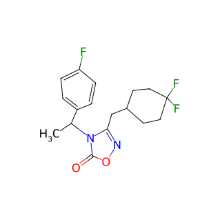 CC(c1ccc(F)cc1)n1c(CC2CCC(F)(F)CC2)noc1=O